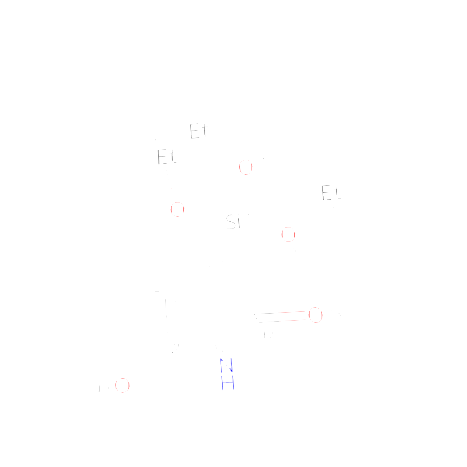 CCO[Si](OCC)(OCC)C1=CC(=O)NC1=O